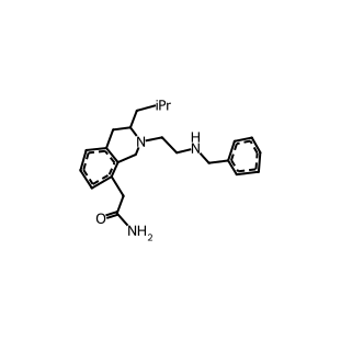 CC(C)CC1Cc2cccc(CC(N)=O)c2CN1CCNCc1ccccc1